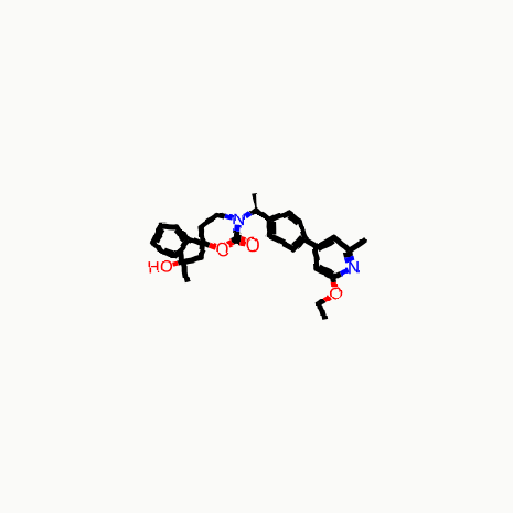 CCOc1cc(-c2ccc([C@H](C)N3CCC(CC(C)(C)O)(c4ccccc4)OC3=O)cc2)cc(C)n1